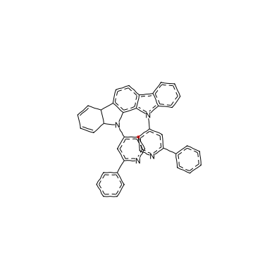 C1=CC2c3ccc4c5ccccc5n(-c5ccnc(-c6ccccc6)c5)c4c3N(c3ccnc(-c4ccccc4)c3)C2C=C1